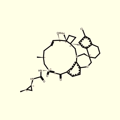 CO[C@H]1/C=C/C[C@H](C)C[S@@](=O)(NC(=O)N[C@H]2C[C@H]2C)=NC(=O)c2ccc3c(c2)N(C[C@@H]2CC[C@H]21)C[C@@]1(CCCc2cc(Cl)ccc21)CO3